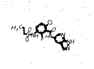 CCCS(=O)(=O)Nc1ccc(Cl)c(C(=O)Nc2cnc3[nH]ncc3c2)c1F